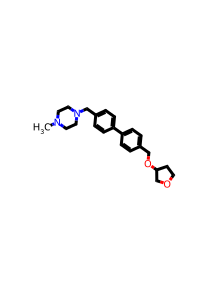 CN1CCN(Cc2ccc(-c3ccc(COC4CCOC4)cc3)cc2)CC1